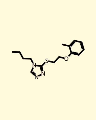 CCCCn1cnnc1SCCOc1ccccc1C